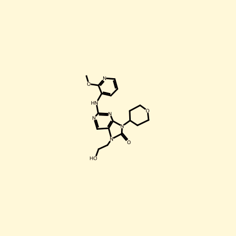 COc1ncccc1Nc1ncc2c(n1)n(C1CCOCC1)c(=O)n2CCO